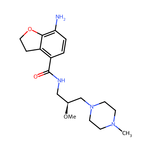 CO[C@@H](CNC(=O)c1ccc(N)c2c1CCO2)CN1CCN(C)CC1